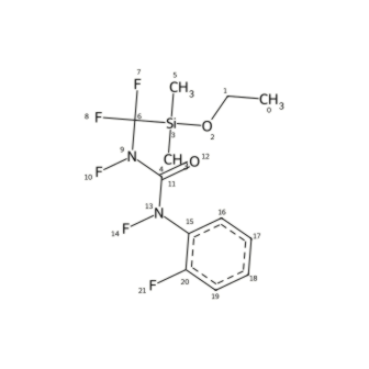 CCO[Si](C)(C)C(F)(F)N(F)C(=O)N(F)c1ccccc1F